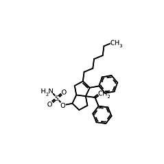 C=C(c1ccccc1)C12CCC(OS(N)(=O)=O)C1CC(CCCCCC)=C2c1ccccc1